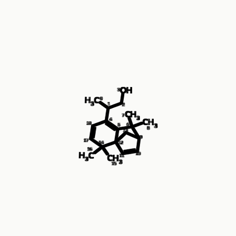 CC(CO)C1=C2C(C)(C)C3C=CC2(C3)C(C)(C)C=C1